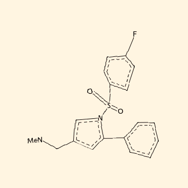 CNCc1cc(-c2ccccc2)n(S(=O)(=O)c2ccc(F)cc2)c1